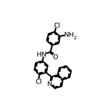 Nc1cc(C(=O)Nc2ccc(Cl)c(-c3nccc4ccccc34)c2)ccc1Cl